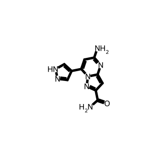 NC(=O)c1cc2nc(N)cc(-c3cn[nH]c3)n2n1